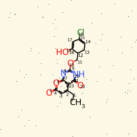 CCc1cc(=O)oc2nc(OCC3CC=C(Cl)C=C3O)[nH]c(=O)c12